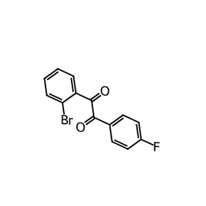 O=C(C(=O)c1ccccc1Br)c1ccc(F)cc1